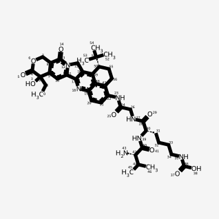 CCC1(O)C(=O)OCc2c1cc1n(c2=O)Cc2c-1nc1ccc(NC(=O)CNC(=O)[C@H](CCCCNC(=O)O)NC(=O)[C@@H](N)C(C)C)c3c1c2[C@H](C(C)(C)C)CC3